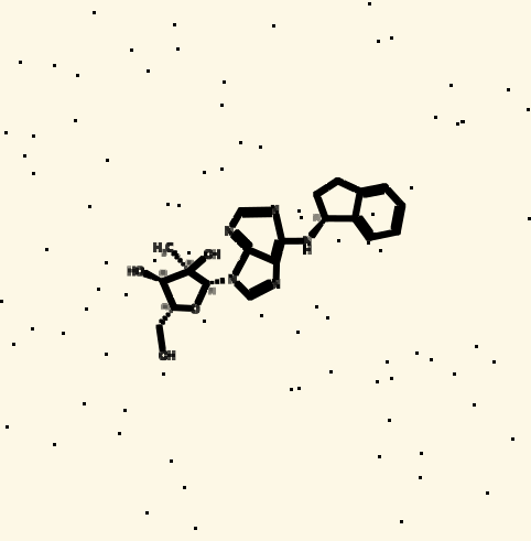 C[C@@]1(O)[C@H](O)[C@@H](CO)O[C@H]1n1cnc2c(N[C@H]3CCc4ccccc43)ncnc21